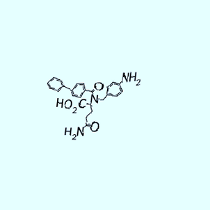 NC(=O)CC[C@@H](C(=O)O)N(Cc1ccc(N)cc1)C(=O)c1ccc(-c2ccccc2)cc1